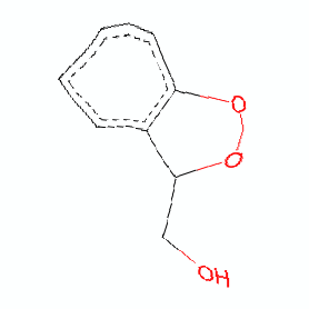 OCC1OOc2ccccc21